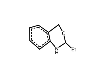 [CH2]CC1CCc2ccccc2N1